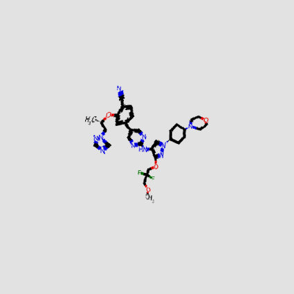 COCC(F)(F)COc1nn([C@H]2CC[C@H](N3CCOCC3)CC2)cc1Nc1ncc(-c2ccc(C#N)c(O[C@@H](C)Cn3cncn3)c2)cn1